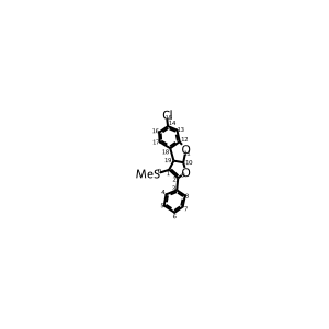 CSC1=C(c2ccccc2)OC2Oc3cc(Cl)ccc3C12